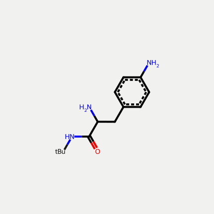 CC(C)(C)NC(=O)C(N)Cc1ccc(N)cc1